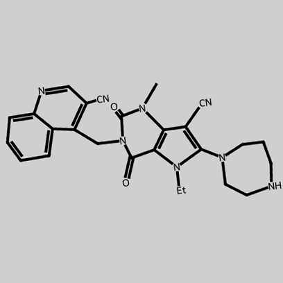 CCn1c(N2CCCNCC2)c(C#N)c2c1c(=O)n(Cc1c(C#N)cnc3ccccc13)c(=O)n2C